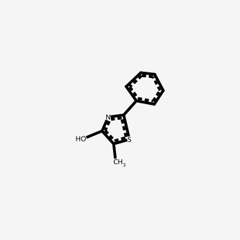 Cc1sc(-c2ccccc2)nc1O